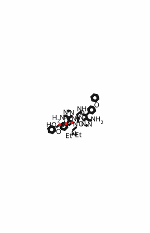 CCN(CC)CCN(CCNCCCO)C(=O)C(CC(N)=O)(n1cc(-c2ccc(Oc3ccccc3)cc2)c2c(N)ncnc21)n1cc(-c2ccc(Oc3ccccc3)cc2)c2c(N)ncnc21